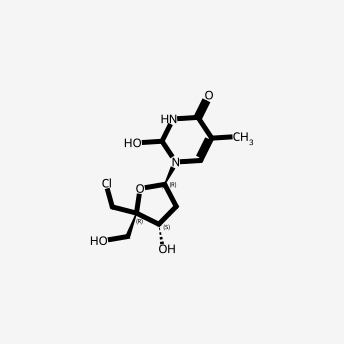 CC1=CN([C@H]2C[C@H](O)[C@](CO)(CCl)O2)C(O)NC1=O